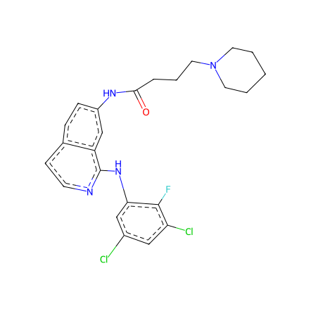 O=C(CCCN1CCCCC1)Nc1ccc2ccnc(Nc3cc(Cl)cc(Cl)c3F)c2c1